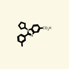 Cc1cccc(-c2nc3cc(C(=O)O)ccc3n2C2CCCC2)c1